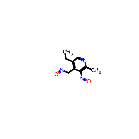 CCc1cnc(C)c(N=O)c1CN=O